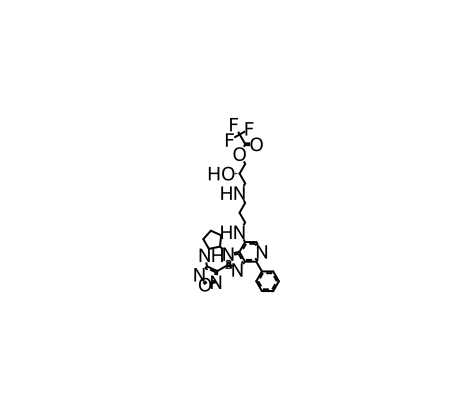 Nc1nonc1-c1nc2c(-c3ccccc3)ncc(NCCCNC[C@H](O)COC(=O)C(F)(F)F)c2n1C1CCCC1